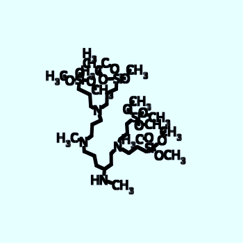 CNC(CCCN(C)CCCN(CCC[Si](OC)(OC)OC)CCC[Si](OC)(OC)OC)CCN(CCC[Si](OC)(OC)OC)CCC[Si](OC)(OC)OC